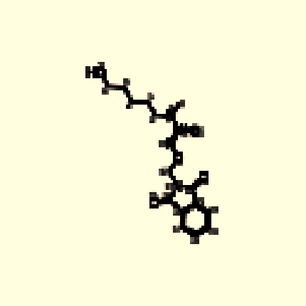 CN(CCCCCO)[N+]([O-])=NOCN1C(=O)c2ccccc2C1=O